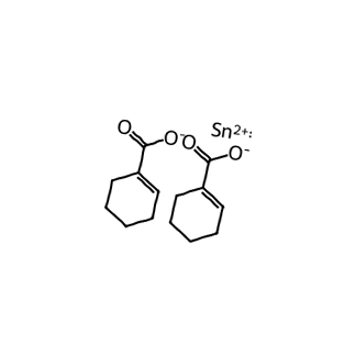 O=C([O-])C1=CCCCC1.O=C([O-])C1=CCCCC1.[Sn+2]